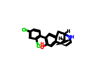 Oc1cc2c(cc1-c1ccc(Cl)cc1Cl)C[C@@H]1NCC[C@]23CCCC[C@H]13